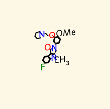 COc1ccc(N2Cc3c(c4ccc(F)cc4n3C)C2=O)cc1OCCN1CCCCC1